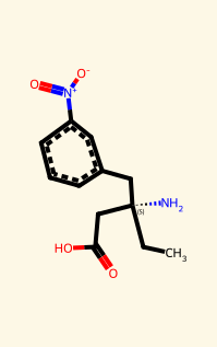 CC[C@@](N)(CC(=O)O)Cc1cccc([N+](=O)[O-])c1